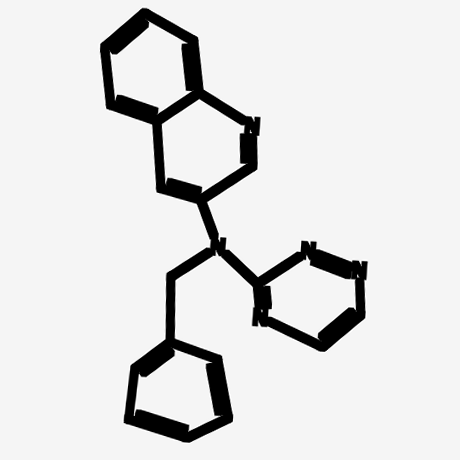 c1ccc(CN(c2cnc3ccccc3c2)c2nccnn2)cc1